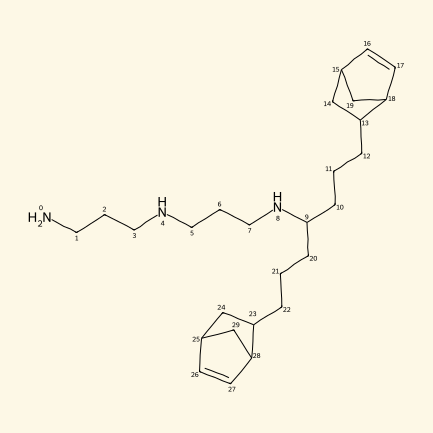 NCCCNCCCNC(CCCC1CC2C=CC1C2)CCCC1CC2C=CC1C2